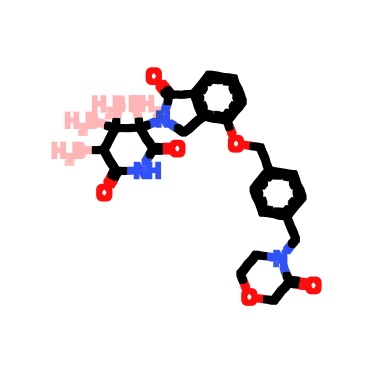 BC1C(=O)NC(=O)C(B)(N2Cc3c(OCc4ccc(CN5CCOCC5=O)cc4)cccc3C2=O)C1(B)B